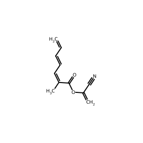 C=CC=CC=C(C)C(=O)OC(=C)C#N